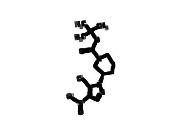 CC(C)(C)OC(=O)N1CCC[C@@H](n2ncc([N+](=O)[O-])c2Cl)C1